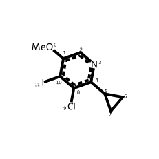 COc1cnc(C2CC2)c(Cl)c1I